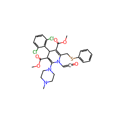 COC(=O)C1=C(CSc2ccccc2)N(C=C=O)C(N2CCN(C)CC2)=C(C(=O)OC)C1c1c(Cl)cccc1Cl